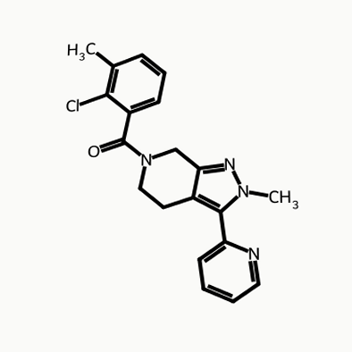 Cc1cccc(C(=O)N2CCc3c(nn(C)c3-c3ccccn3)C2)c1Cl